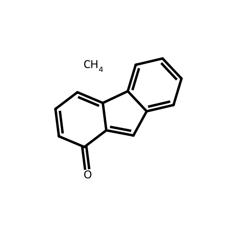 C.O=C1C=CC=C2C1=Cc1ccccc12